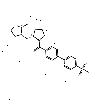 C[C@@H]1CCCN1C[C@@H]1CCCN1C(=O)c1ccc(-c2ccc(S(C)(=O)=O)cc2)cc1